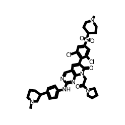 CN1CCC(S(=O)(=O)c2cc(Cl)c(-c3cc4cnc(Nc5ccc(C6CCCN(C)C6)cc5)nc4n(CC(=O)N4CCCC4)c3=O)c(Cl)c2)CC1